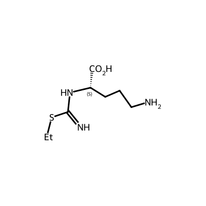 CCSC(=N)N[C@@H](CCCN)C(=O)O